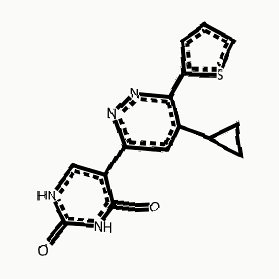 O=c1[nH]cc(-c2cc(C3CC3)c(-c3cccs3)nn2)c(=O)[nH]1